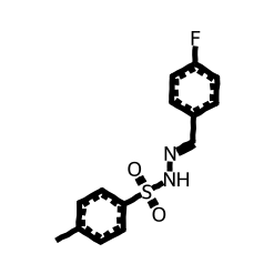 Cc1ccc(S(=O)(=O)NN=Cc2ccc(F)cc2)cc1